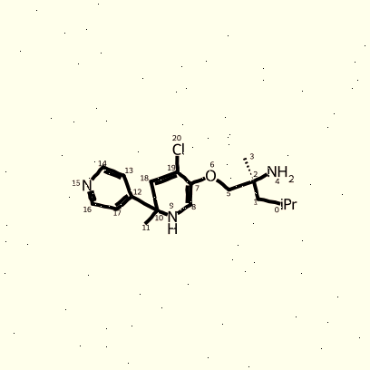 CC(C)C[C@](C)(N)COC1=CNC(C)(c2ccncc2)C=C1Cl